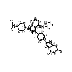 Cc1cc(C)c2oc(-c3ccc(-c4nn(C5CCC(N(C)C)CC5)c5ncnc(N)c45)cc3)nc2c1.N